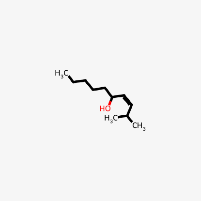 CCCCCC(O)/C=C\C(C)C